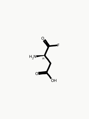 N[C@H](CC(=O)O)C(=O)F